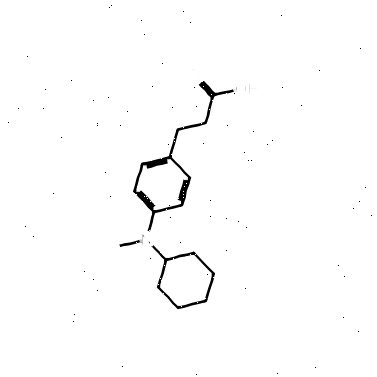 CN(c1ccc(CCC(=O)O)cc1)C1CCCCC1